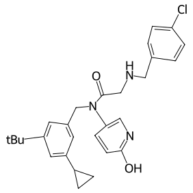 CC(C)(C)c1cc(CN(C(=O)CNCc2ccc(Cl)cc2)c2ccc(O)nc2)cc(C2CC2)c1